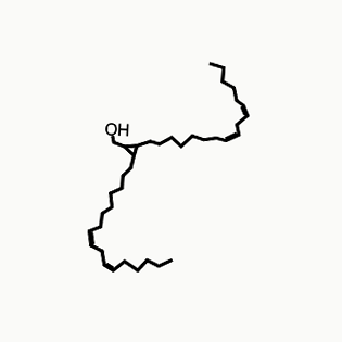 CCCCC/C=C\C/C=C\CCCCCCCC1C(CO)C1CCCCCCC/C=C\C/C=C\CCCCC